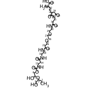 CCC(CO)OC(O)COC(=O)NCCC(=O)NCCNC(=O)CCOCCOCCNC(=O)CCN1C(=O)CC(SCC(N)C(=O)O)C1=O